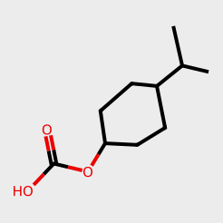 CC(C)C1CCC(OC(=O)O)CC1